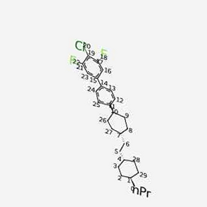 CCC[C@H]1CC[C@H](CC[C@H]2CC[C@H](c3ccc(-c4cc(F)c(Cl)c(F)c4)cc3)CC2)CC1